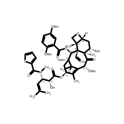 C=C[C@]12[C@H](OC(=O)c3cc(OC)ccc3OC)[C@]3(O)C[C@H](OC(=O)[C@H](O)[C@H](C=C(C)C)N(C)C(=O)c4cccs4)C(C)=C([C@@H](OC)C(=O)[C@]1(C)[C@@H](O)C[C@H]1OC[C@]12OC(C)=O)C3(C)C